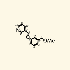 COCc1cccc(OCc2cccnc2)c1